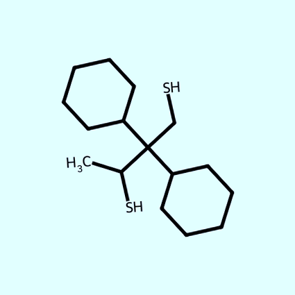 CC(S)C(CS)(C1CCCCC1)C1CCCCC1